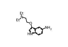 CCN(CC)CCOc1c[nH]c2ccc(N)cc12